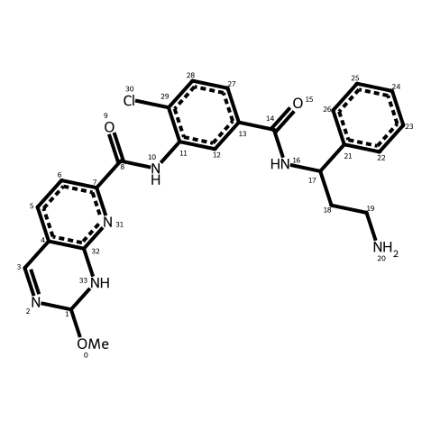 COC1N=Cc2ccc(C(=O)Nc3cc(C(=O)NC(CCN)c4ccccc4)ccc3Cl)nc2N1